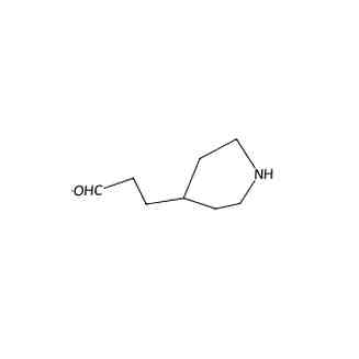 O=[C]CCC1CCNCC1